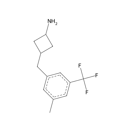 Cc1cc(CC2CC(N)C2)cc(C(F)(F)F)c1